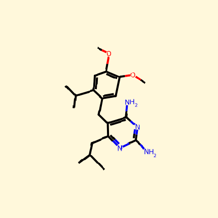 COc1cc(Cc2c(N)nc(N)nc2CC(C)C)c(C(C)C)cc1OC